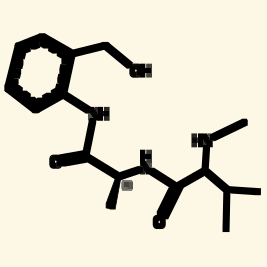 CNC(C(=O)N[C@@H](C)C(=O)Nc1ccccc1CO)C(C)C